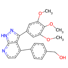 COc1cc(-c2n[nH]c3nccc(-c4ccc(CO)cc4)c23)cc(OC)c1OC